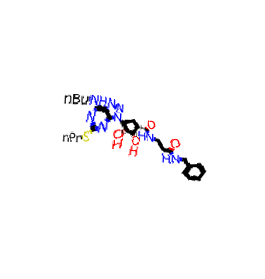 CCCCNc1nc(SCCC)nc2c1nnn2[C@@H]1C[C@H](C(=O)NCCC(=O)NCc2ccccc2)[C@@H](O)[C@H]1O